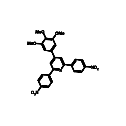 COc1cc(-c2cc(-c3ccc([N+](=O)[O-])cc3)nc(-c3ccc([N+](=O)[O-])cc3)c2)cc(OC)c1OC